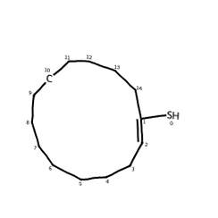 SC1=CCCCCCCCCCCCC1